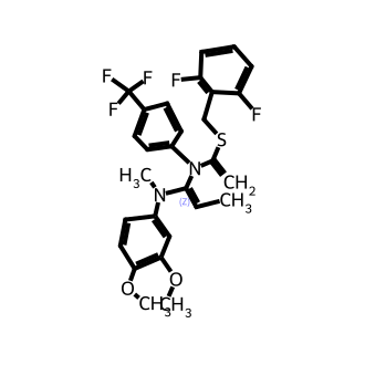 C=C(SCc1c(F)cccc1F)N(/C(=C\C)N(C)c1ccc(OC)c(OC)c1)c1ccc(C(F)(F)F)cc1